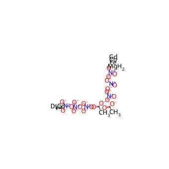 CC(=O)[O-].CC(=O)[O-].O=[N+]([O-])[O-].O=[N+]([O-])[O-].O=[N+]([O-])[O-].O=[N+]([O-])[O-].O=[N+]([O-])[O-].O=[N+]([O-])[O-].[Co].[Cu].[Dy].[Fe].[Gd].[La].[MgH2]